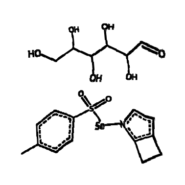 Cc1ccc(S(=O)(=O)[Se]n2ccc3c2CC3)cc1.O=CC(O)C(O)C(O)C(O)CO